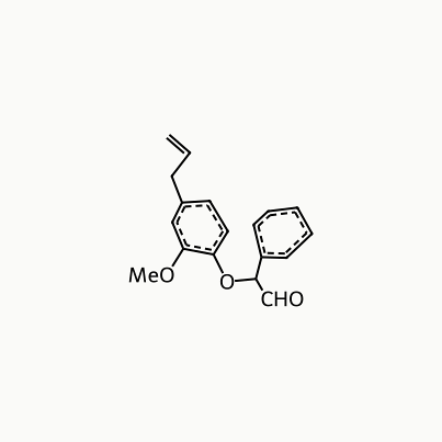 C=CCc1ccc(OC(C=O)c2ccccc2)c(OC)c1